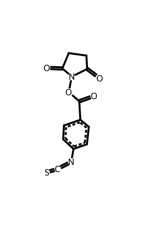 O=C(ON1C(=O)CCC1=O)c1ccc(N=C=S)cc1